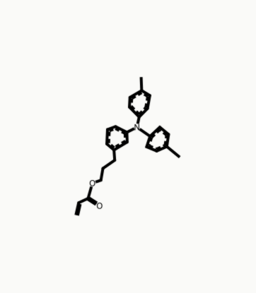 C=CC(=O)OCCCc1cccc(N(c2ccc(C)cc2)c2ccc(C)cc2)c1